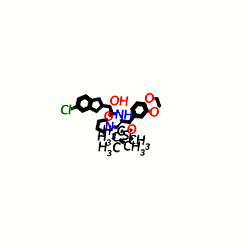 CC(C)(C)[Si](C)(C)O[C@H](c1ccc2c(c1)OCCO2)[C@@H](CN1CCCC1)NC(=O)C(O)C1Cc2ccc(Cl)cc2C1